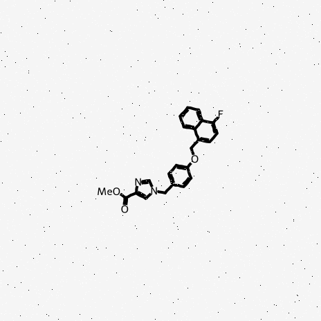 COC(=O)c1cn(Cc2ccc(OCc3ccc(F)c4ccccc34)cc2)cn1